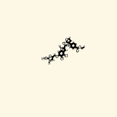 CCOC(=O)c1ccc(C2(NC(=O)c3cc4c(Cl)c(Cl)c(OCC5CN(C)C(O)O5)cc4n3C)CCOC2)cc1